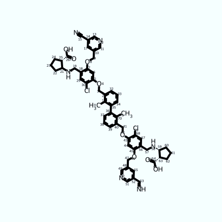 Cc1c(COc2cc(OCc3cncc(C#N)c3)c(CNC3CCC[C@@H]3C(=O)O)cc2Cl)cccc1-c1cccc(COc2cc(OCc3cncc(C=N)c3)c(CN[C@@H]3CCC[C@@H]3C(=O)O)cc2Cl)c1C